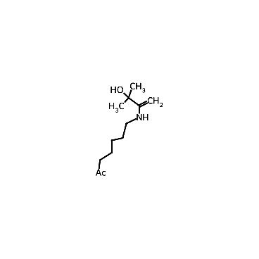 C=C(NCCCCCC(C)=O)C(C)(C)O